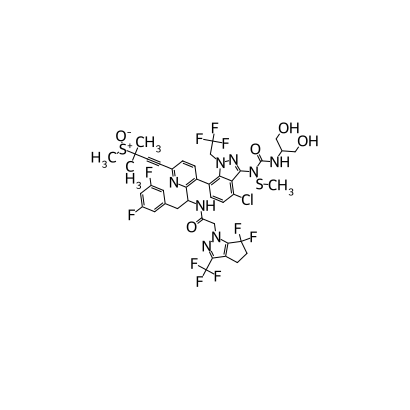 CSN(C(=O)NC(CO)CO)c1nn(CC(F)(F)F)c2c(-c3ccc(C#CC(C)(C)[S+](C)[O-])nc3C(Cc3cc(F)cc(F)c3)NC(=O)Cn3nc(C(F)(F)F)c4c3C(F)(F)CC4)ccc(Cl)c12